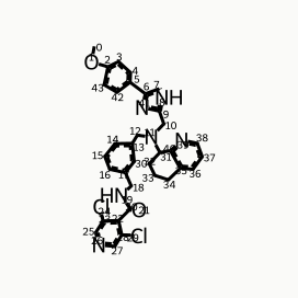 COc1ccc(-c2c[nH]c(CN(Cc3cccc(CNC(=O)c4c(Cl)cncc4Cl)c3)C3CCCc4cccnc43)n2)cc1